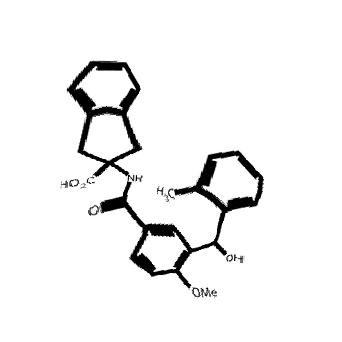 COc1ccc(C(=O)NC2(C(=O)O)Cc3ccccc3C2)cc1C(O)c1ccccc1C